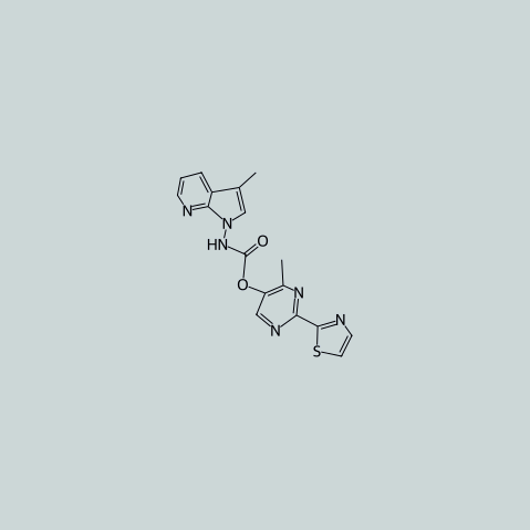 Cc1nc(-c2nccs2)ncc1OC(=O)Nn1cc(C)c2cccnc21